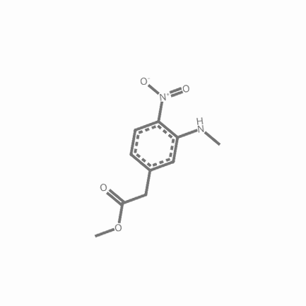 CNc1cc(CC(=O)OC)ccc1[N+](=O)[O-]